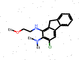 CCOCCNc1c2c(cc(Cl)c1N(CC)CC)-c1ccccc1C2